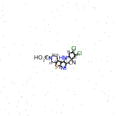 N#Cc1cnc2sc3c(c2c1Nc1ccc(Cl)c(Cl)c1)CCN(C(=O)O)C3